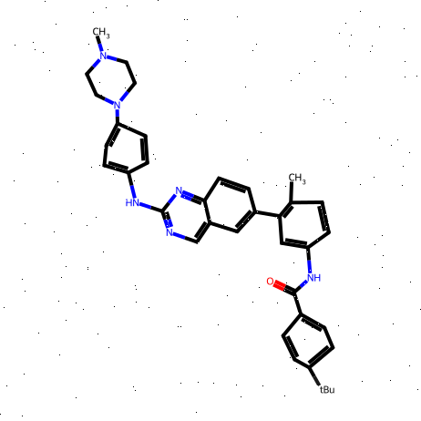 Cc1ccc(NC(=O)c2ccc(C(C)(C)C)cc2)cc1-c1ccc2nc(Nc3ccc(N4CCN(C)CC4)cc3)ncc2c1